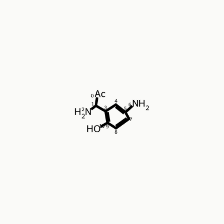 CC(=O)C(N)c1cc(N)ccc1O